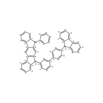 c1ccc(-n2c3ccccc3c3cc4c5ccccc5n(-c5cccc(-c6ccc(-n7c8ccccc8c8ccccc87)cc6)c5)c4cc32)cc1